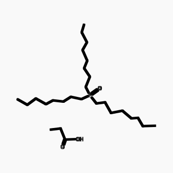 CCC(=O)O.CCCCCCCCP(=O)(CCCCCCCC)CCCCCCCC